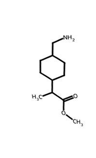 COC(=O)C(C)C1CCC(CN)CC1